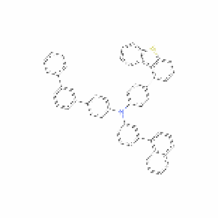 c1ccc(-c2cccc(-c3ccc(N(c4ccc(-c5cccc6sc7ccccc7c56)cc4)c4cccc(-c5cccc6ccccc56)c4)cc3)c2)cc1